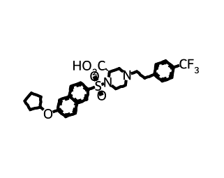 O=C(O)[C@@H]1CN(CCc2ccc(C(F)(F)F)cc2)CCN1S(=O)(=O)c1ccc2cc(OC3CCCC3)ccc2c1